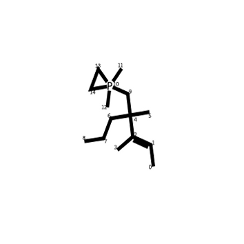 C/C=C(\C)C(C)(CCC)CP1(C)(C)CC1